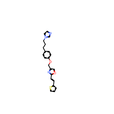 C(=C\c1cccs1)/c1nc(COc2ccc(CCCn3ccnc3)cc2)co1